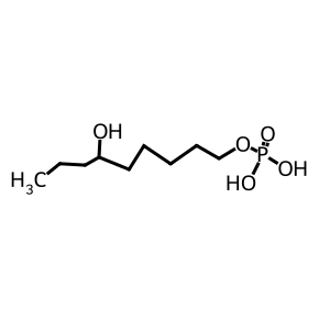 CCCC(O)CCCCCOP(=O)(O)O